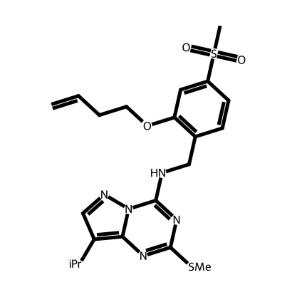 C=CCCOc1cc(S(C)(=O)=O)ccc1CNc1nc(SC)nc2c(C(C)C)cnn12